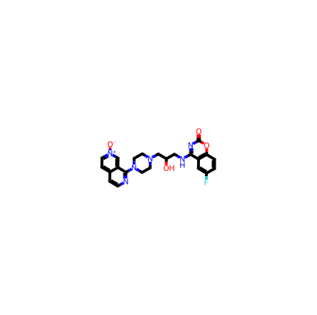 O=c1nc(NCC(O)CN2CCN(c3nccc4cc[n+]([O-])cc34)CC2)c2cc(F)ccc2o1